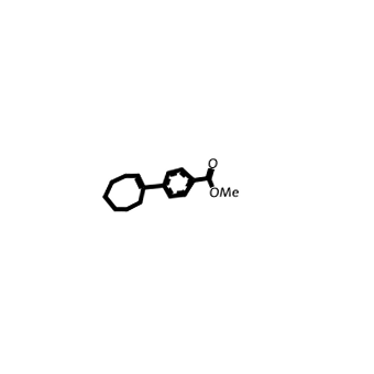 COC(=O)c1ccc(/C2=C/CCCCCC2)cc1